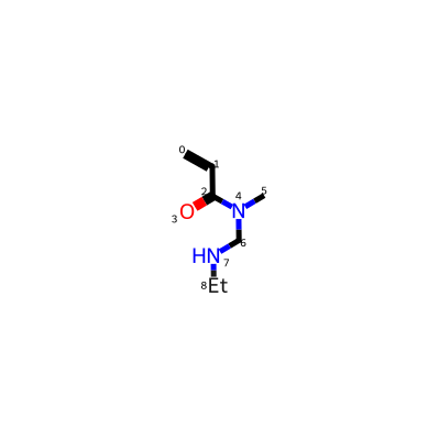 C=CC(=O)N(C)CNCC